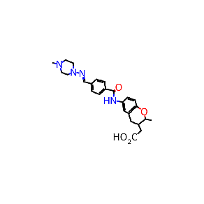 CC1Oc2ccc(NC(=O)c3ccc(C=NN4CCN(C)CC4)cc3)cc2CC1CC(=O)O